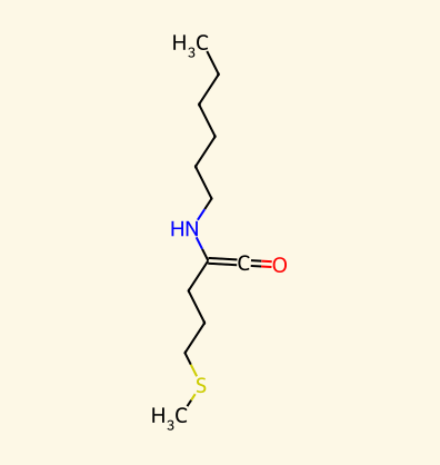 CCCCCCNC(=C=O)CCCSC